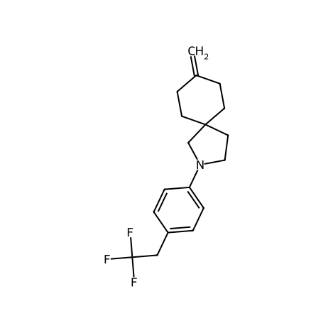 C=C1CCC2(CC1)CCN(c1ccc(CC(F)(F)F)cc1)C2